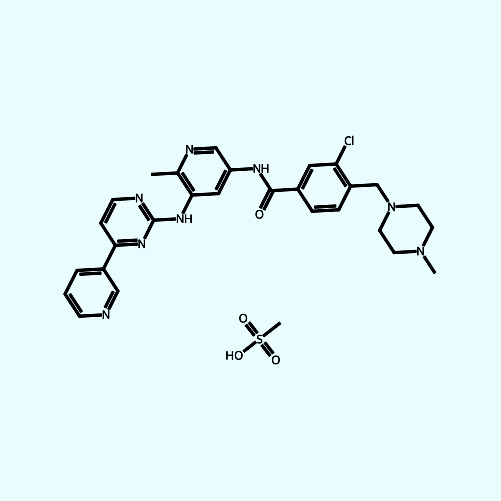 CS(=O)(=O)O.Cc1ncc(NC(=O)c2ccc(CN3CCN(C)CC3)c(Cl)c2)cc1Nc1nccc(-c2cccnc2)n1